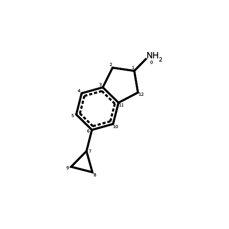 NC1Cc2ccc(C3CC3)cc2C1